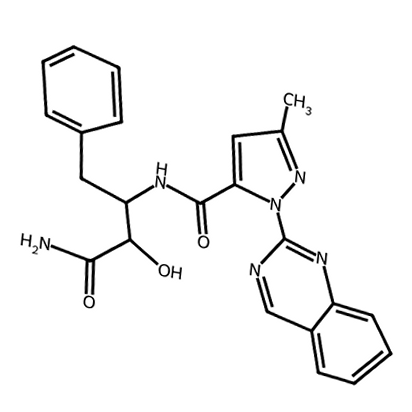 Cc1cc(C(=O)NC(Cc2ccccc2)C(O)C(N)=O)n(-c2ncc3ccccc3n2)n1